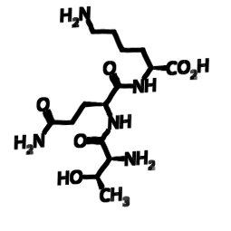 C[C@@H](O)[C@H](N)C(=O)N[C@@H](CCC(N)=O)C(=O)N[C@@H](CCCCN)C(=O)O